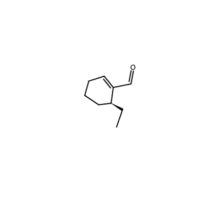 CC[C@H]1CCCC=C1C=O